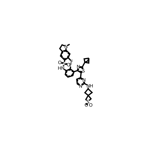 CN1CCc2cc(S(=O)(=O)Nc3cccc(-c4nc(C56CC(C5)C6)sc4-c4ccnc(NC5CC6(C5)CS(=O)(=O)C6)n4)c3F)c(F)cc21